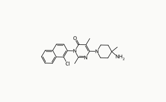 Cc1c(N2CCC(C)(N)CC2)nc(C)n(-c2ccc3ccccc3c2Cl)c1=O